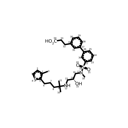 Cc1ccsc1CCCC(C)(C)NC[C@@H](O)CN(C)S(=O)(=O)c1cccc(-c2cccc(CCC(=O)O)c2)c1